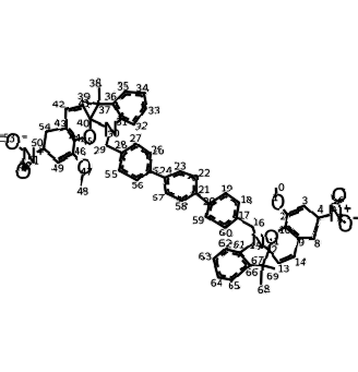 COC1=CC([N+](=O)[O-])CC2=C1OC1(C=C2)N(Cc2ccc(-c3ccc(-c4ccc(CN5c6ccccc6C(C)(C)C56C=CC5=C(O6)C(OC)=CC([N+](=O)[O-])C5)cc4)cc3)cc2)c2ccccc2C1(C)C